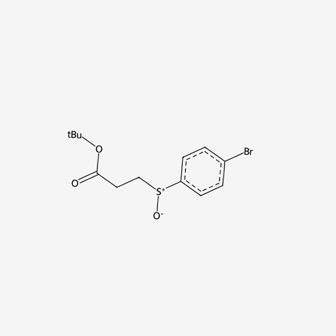 CC(C)(C)OC(=O)CC[S+]([O-])c1ccc(Br)cc1